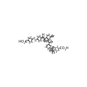 CCN([C@H]1CC[C@H](C(=O)O)CC1)S(=O)(=O)c1cccc(C(=O)Nc2cc(Br)ccc2C(=O)Nc2ccc(CCc3ccc(C(=O)O)cc3)cc2)c1